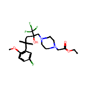 CCOC(=O)CN1CCN(CC(O)(CC(C)(C)c2cc(F)ccc2OC)C(F)(F)F)CC1